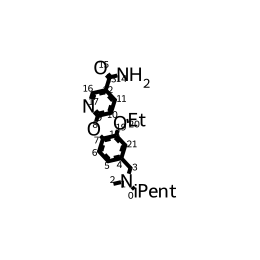 CCCC(C)N(C)Cc1ccc(Oc2ccc(C(N)=O)cn2)c(OCC)c1